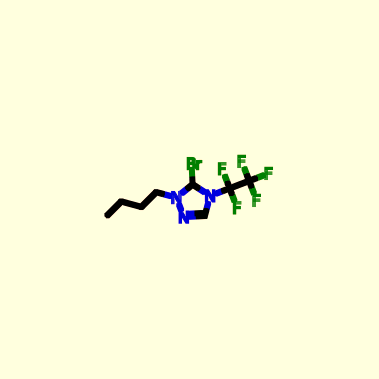 CCCCN1N=CN(C(F)(F)C(F)(F)F)C1Br